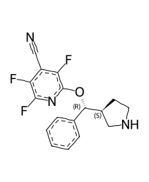 N#Cc1c(F)c(F)nc(O[C@@H](c2ccccc2)[C@H]2CCNC2)c1F